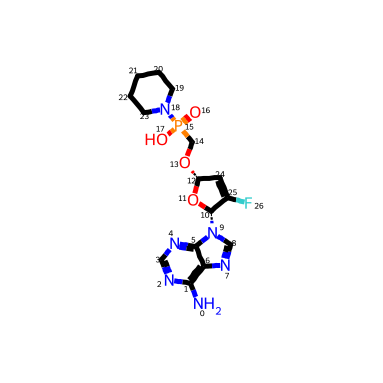 Nc1ncnc2c1ncn2[C@@H]1O[C@H](OCP(=O)(O)N2CCCCC2)C=C1F